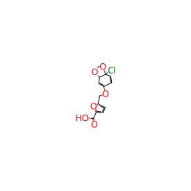 O=C(O)c1ccc(COC2=CC3OCOC3(Cl)C=C2)o1